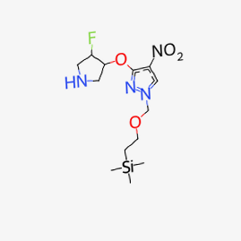 C[Si](C)(C)CCOCn1cc([N+](=O)[O-])c(OC2CNCC2F)n1